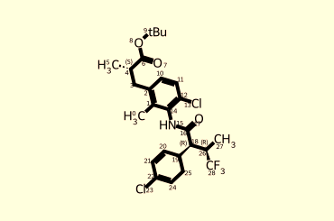 Cc1c(C[C@H](C)C(=O)OC(C)(C)C)ccc(Cl)c1NC(=O)[C@H](C1C=CC(Cl)=CC1)[C@@H](C)C(F)(F)F